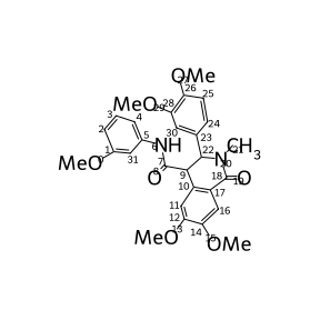 COc1cccc(NC(=O)C2c3cc(OC)c(OC)cc3C(=O)N(C)C2c2ccc(OC)c(OC)c2)c1